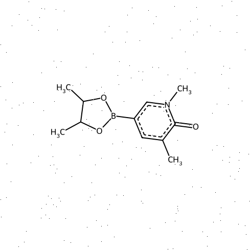 Cc1cc(B2OC(C)C(C)O2)cn(C)c1=O